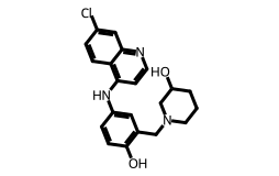 Oc1ccc(Nc2ccnc3cc(Cl)ccc23)cc1CN1CCCC(O)C1